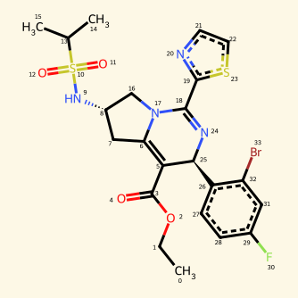 CCOC(=O)C1=C2C[C@H](NS(=O)(=O)C(C)C)CN2C(c2nccs2)=N[C@H]1c1ccc(F)cc1Br